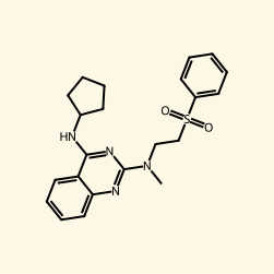 CN(CCS(=O)(=O)c1ccccc1)c1nc(NC2CCCC2)c2ccccc2n1